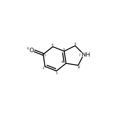 O=C1C=CC2=C(CN[CH]2)C1